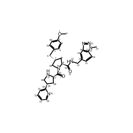 COc1ccc(C[C@@H]2C[C@@H](C(=O)NCc3ccc4c(c3)nnn4C)N(C(=O)[C@H]3C[C@@H](c4ccccn4)CN3)C2)cc1